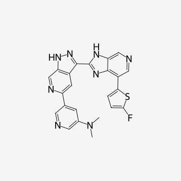 CN(C)c1cncc(-c2cc3c(-c4nc5c(-c6ccc(F)s6)cncc5[nH]4)n[nH]c3cn2)c1